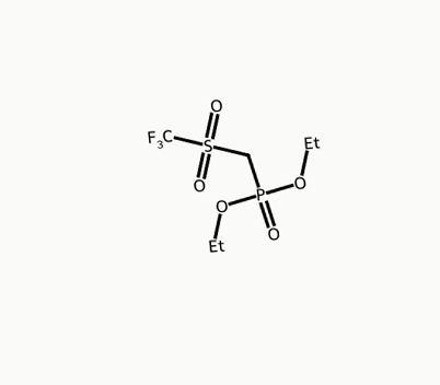 CCOP(=O)(CS(=O)(=O)C(F)(F)F)OCC